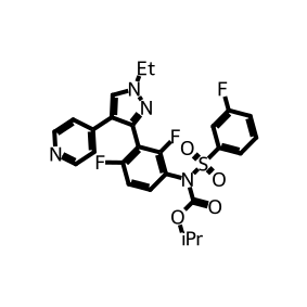 CCn1cc(-c2ccncc2)c(-c2c(F)ccc(N(C(=O)OC(C)C)S(=O)(=O)c3cccc(F)c3)c2F)n1